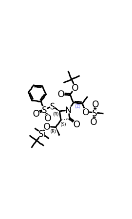 C/C(OS(C)(=O)=O)=C(\C(=O)OC(C)(C)C)N1C(=O)[C@H]([C@@H](C)O[Si](C)(C)C(C)(C)C)[C@H]1SS(=O)(=O)c1ccccc1